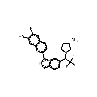 N[C@H]1CCN([C@H](c2ccc3nnc(-c4ccc5cc(F)c(O)cc5n4)n3c2)C(F)(F)F)C1